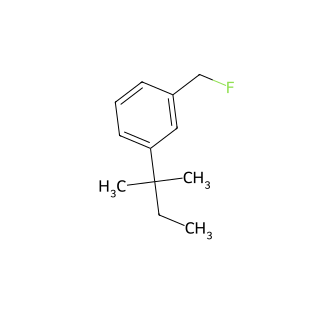 CCC(C)(C)c1cccc(CF)c1